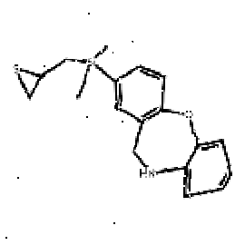 C[Si](C)(CC1CS1)c1ccc2c(c1)CNc1ccccc1O2